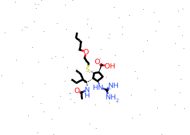 CCCCOCCS[C@H]1[C@@H]([C@H](NC(C)=O)C(CC)CC)[C@H](NC(=N)N)C[C@@H]1C(=O)O